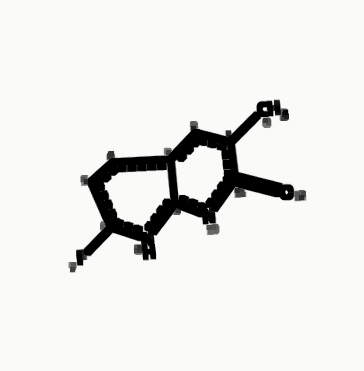 Cc1cc2ccc(F)[nH]c-2nc1=O